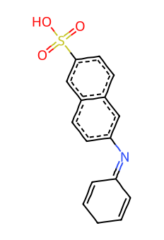 O=S(=O)(O)c1ccc2cc(N=C3C=CCC=C3)ccc2c1